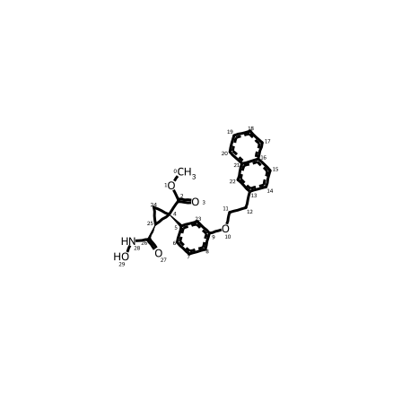 COC(=O)[C@@]1(c2cccc(OCCc3ccc4ccccc4c3)c2)C[C@@H]1C(=O)NO